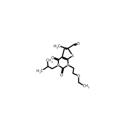 CCOCCn1c(=O)n(CC(C)C)c(=O)c2c(C)c(C=O)sc21